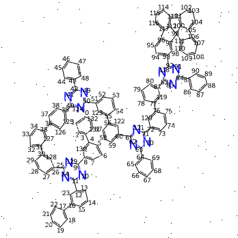 c1ccc(-c2cccc(-c3nc(-c4cccc(-c5ccccc5)c4)nc(-c4cccc(-c5cccc(-c6ccc(-c7nc(-c8ccccc8)nc(-c8cccc(-c9cccc(-c%10nc(-c%11ccccc%11)nc(-c%11cccc(-c%12cccc(-c%13nc(-c%14ccccc%14)nc(-c%14ccc%15c(c%14)C%14(c%16ccccc%16-c%16ccccc%16%14)c%14ccccc%14-%15)n%13)c%12)c%11)n%10)c9)c8)n7)cc6)c5)c4)n3)c2)cc1